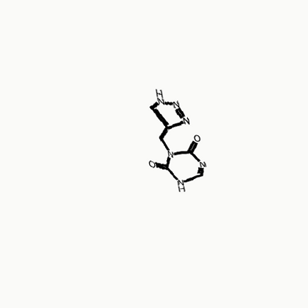 O=c1nc[nH]c(=O)n1Cc1c[nH]nn1